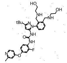 Cc1cc(Oc2ccc(NC(=O)Nc3cc(C(C)(C)C)nn3-c3cccc(CNCCO)c3CNCCO)c(F)c2)ccn1